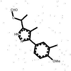 COc1ccc(-c2n[nH]c(C(C)OC=O)c2C)cc1I